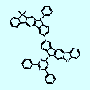 CC1(C)c2ccccc2-c2cc3c4cc(-c5ccc6c(c5)c5cc7c(cc5n6-c5nc(-c6ccccc6)nc(-c6ccccc6)n5)oc5ccccc57)ccc4n(-c4ccccc4)c3cc21